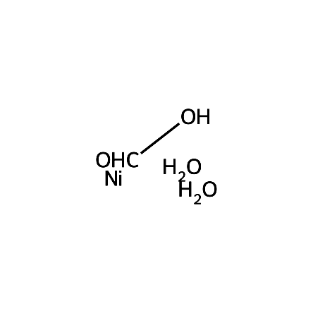 O.O.O=CO.[Ni]